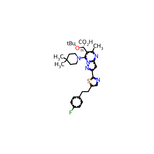 Cc1nc2cc(-c3ncc(CCc4ccc(F)cc4)s3)nn2c(N2CCC(C)(C)CC2)c1[C@H](OC(C)(C)C)C(=O)O